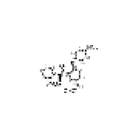 COc1ccccc1NC(=O)c1cc(NC=O)ccc1Sc1ccc([N+](=O)[O-])cc1